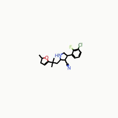 CC1CC=C(C(C)(C)CC2NCC(c3cccc(Cl)c3F)C2C#N)O1